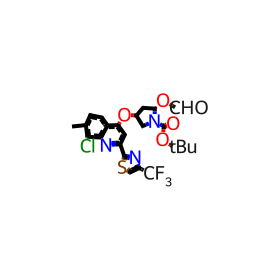 Cc1ccc2c(OC3C[C@@H](OC=O)N(C(=O)OC(C)(C)C)C3)cc(-c3nc(C(F)(F)F)cs3)nc2c1Cl